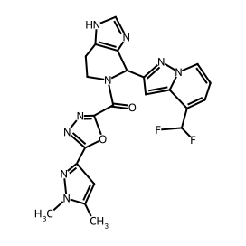 Cc1cc(-c2nnc(C(=O)N3CCc4[nH]cnc4C3c3cc4c(C(F)F)cccn4n3)o2)nn1C